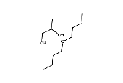 CC(O)CO.CCCCOCCCC